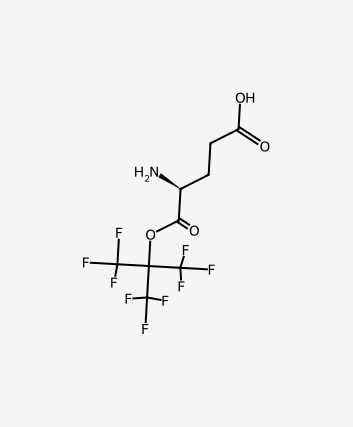 N[C@@H](CCC(=O)O)C(=O)OC(C(F)(F)F)(C(F)(F)F)C(F)(F)F